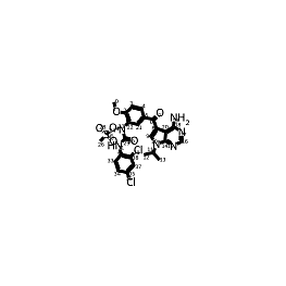 COc1ccc(C(=O)c2cn(C(C)C)c3ncnc(N)c23)cc1N(OS(C)(=O)=O)C(=O)Nc1ccc(Cl)cc1Cl